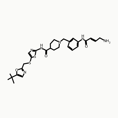 CC(C)(C)c1cnc(CSc2cnc(NC(=O)C3CCN(Cc4cccc(NC(=O)/C=C/CN)c4)CC3)s2)o1